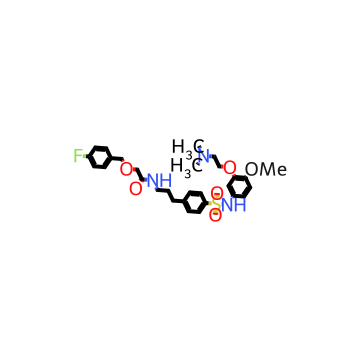 COc1ccc(NS(=O)(=O)c2ccc(CCCNC(=O)COCc3ccc(F)cc3)cc2)cc1OCCN(C)C